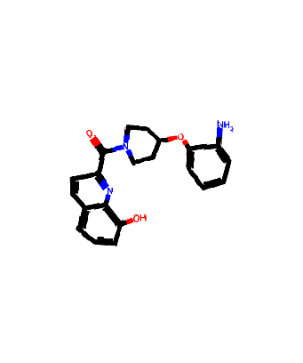 Nc1ccccc1OC1CCN(C(=O)c2ccc3cccc(O)c3n2)CC1